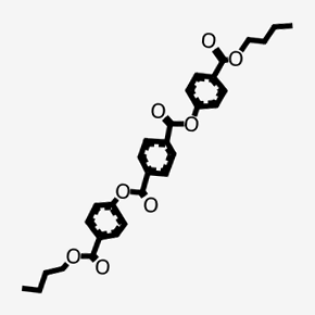 CCCCOC(=O)c1ccc(OC(=O)c2ccc(C(=O)Oc3ccc(C(=O)OCCCC)cc3)cc2)cc1